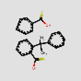 CC(C)(c1ccccc1)c1ccccc1C(O)=S.OC(=S)c1ccccc1